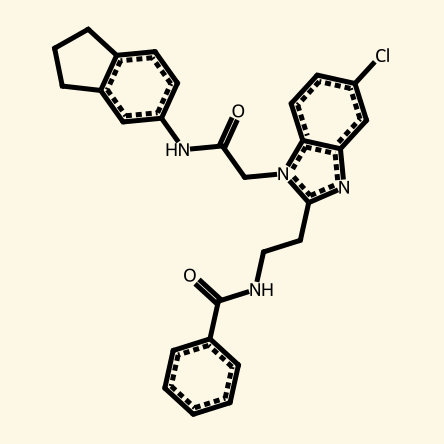 O=C(Cn1c(CCNC(=O)c2ccccc2)nc2cc(Cl)ccc21)Nc1ccc2c(c1)CCC2